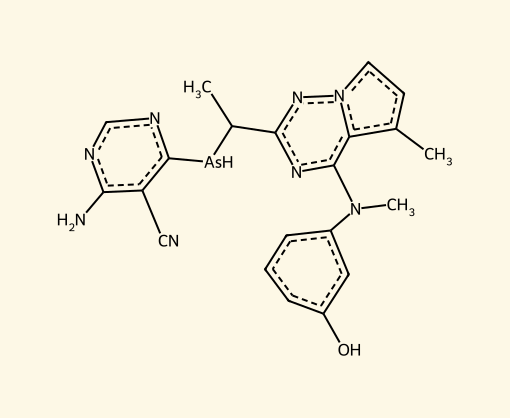 Cc1ccn2nc(C(C)[AsH]c3ncnc(N)c3C#N)nc(N(C)c3cccc(O)c3)c12